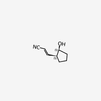 N#CC=C[C@@H]1CCC[C@@H]1O